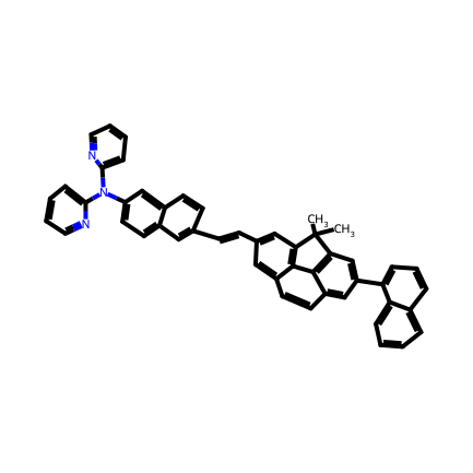 CC1(C)c2cc(/C=C/c3ccc4cc(N(c5ccccn5)c5ccccn5)ccc4c3)cc3ccc4cc(-c5cccc6ccccc56)cc1c4c23